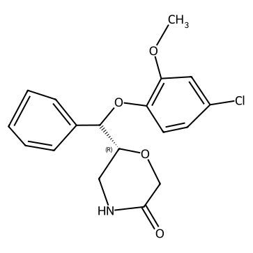 COc1cc(Cl)ccc1OC(c1ccccc1)[C@H]1CNC(=O)CO1